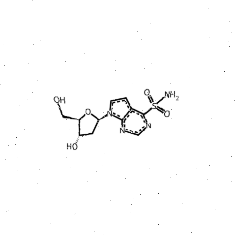 NS(=O)(=O)c1ncnc2c1ccn2[C@H]1C[C@H](O)[C@@H](CO)O1